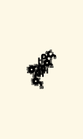 CCCC(CC)C(=O)c1cc(C)cc(C(=O)N[C@@H](Cc2ccccc2)[C@H](O)CNCc2cccc(CC)c2)c1